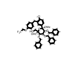 CO[C@@]1(c2ccc(Cl)c(Cc3ccc(OCC(F)(F)F)cc3)c2)O[C@@](C=O)(CO)[C@@H](OCc2ccccc2)[C@H](OCc2ccccc2)[C@H]1OCc1ccccc1